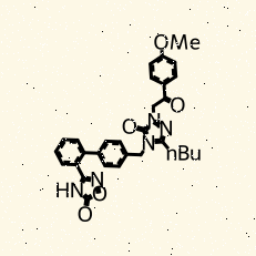 CCCCc1nn(CC(=O)c2ccc(OC)cc2)c(=O)n1Cc1ccc(-c2ccccc2-c2noc(=O)[nH]2)cc1